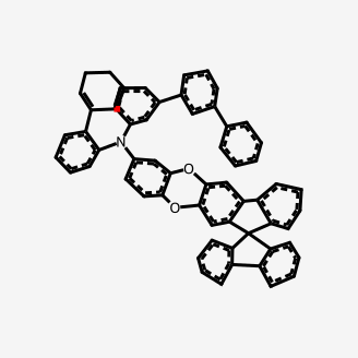 C1=CC(c2ccccc2N(c2cccc(-c3cccc(-c4ccccc4)c3)c2)c2ccc3c(c2)Oc2cc4c(cc2O3)C2(c3ccccc3-c3ccccc32)c2ccccc2-4)=CCC1